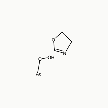 C1=NCCO1.CC(=O)OO